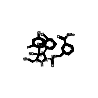 COC(=O)c1cccc(CNC(=O)[C@@H]2N[C@@H](CC(C)(C)C)[C@](C#N)(c3ccc(Cl)cc3F)[C@H]2c2cccc(Cl)c2F)c1